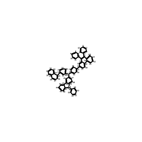 c1ccc(-c2c(-c3ccccc3)c3cc(-c4ccc(N(c5cccc(-c6cccc7ccccc67)c5)c5ccc6c(c5)c5ccccc5n6-c5ccccc5)cc4)ccc3c3ccccc23)cc1